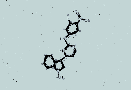 Cn1cc(-c2ccnc(Nc3ccc([N+](=O)[O-])c(F)c3)n2)c2ccccc21